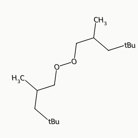 CC(COOCC(C)CC(C)(C)C)CC(C)(C)C